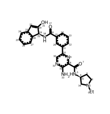 CCN1CC[C@H](NC(=O)c2nc(-c3cccc(C(=O)N[C@@H]4C(O)=Cc5ccccc54)c3)cnc2N)C1